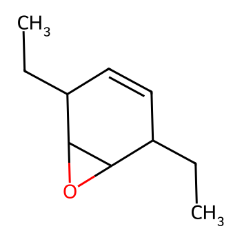 CCC1C=CC(CC)C2OC12